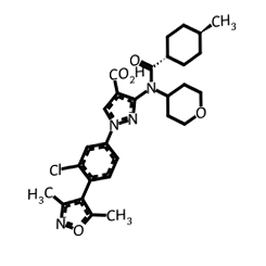 Cc1noc(C)c1-c1ccc(-n2cc(C(=O)O)c(N(C(=O)[C@H]3CC[C@H](C)CC3)C3CCOCC3)n2)cc1Cl